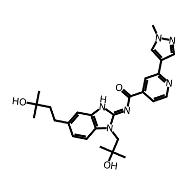 Cn1cc(-c2cc(C(=O)/N=c3\[nH]c4cc(CCC(C)(C)O)ccc4n3CC(C)(C)O)ccn2)cn1